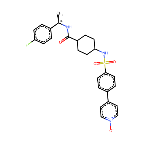 C[C@@H](NC(=O)C1CCC(NS(=O)(=O)c2ccc(-c3cc[n+]([O-])cc3)cc2)CC1)c1ccc(F)cc1